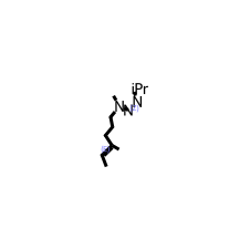 C/C=C(\C)CCCN(C)/N=N\C(C)C